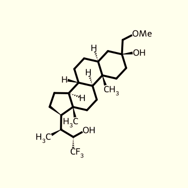 COC[C@]1(O)CC[C@@]2(C)[C@@H](CC[C@@H]3[C@@H]2CC[C@]2(C)[C@@H]([C@H](C)[C@H](O)C(F)(F)F)CC[C@@H]32)C1